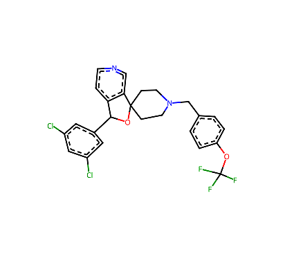 FC(F)(F)Oc1ccc(CN2CCC3(CC2)OC(c2cc(Cl)cc(Cl)c2)c2ccncc23)cc1